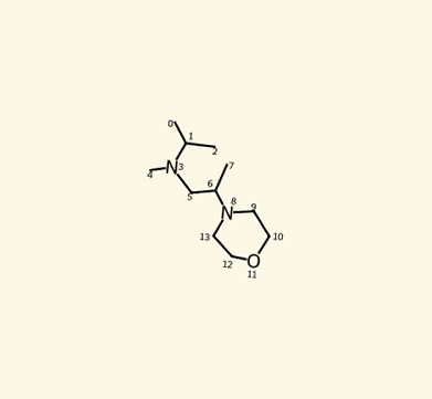 CC(C)N(C)CC(C)N1CCOCC1